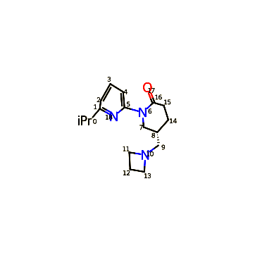 CC(C)c1cccc(N2C[C@@H](CN3CCC3)CCC2=O)n1